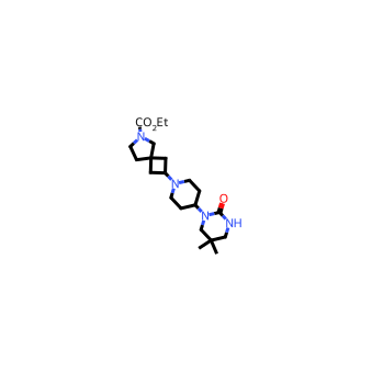 CCOC(=O)N1CCC2(CC(N3CCC(N4CC(C)(C)CNC4=O)CC3)C2)C1